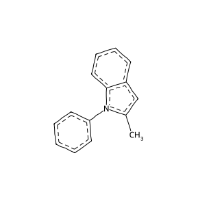 Cc1cc2ccccc2n1-c1ccccc1